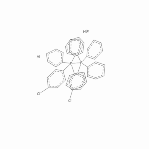 Br.Clc1ccc(P(c2ccccc2)(c2ccccc2)(c2ccccc2)P(c2ccccc2)(c2ccccc2)(c2ccccc2)c2ccc(Cl)cc2)cc1.I